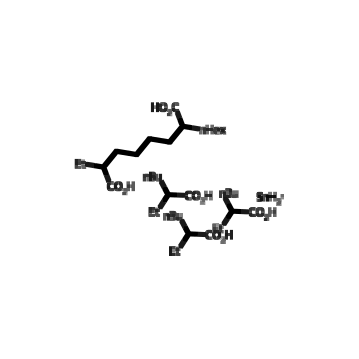 CCCCC(CC)C(=O)O.CCCCC(CC)C(=O)O.CCCCC(CC)C(=O)O.CCCCCCC(CCCCC(CC)C(=O)O)C(=O)O.[SnH2]